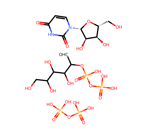 O=CC(OP(=O)(O)OP(=O)(O)O)C(O)C(O)C(O)CO.O=P(O)(O)OP(=O)(O)O.O=c1ccn([C@@H]2O[C@H](CO)[C@@H](O)[C@H]2O)c(=O)[nH]1